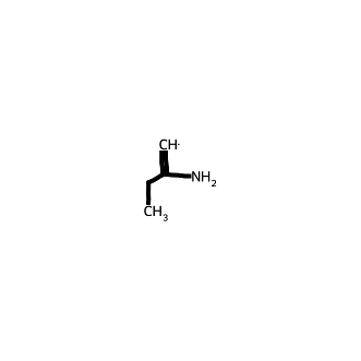 [CH]=C(N)CC